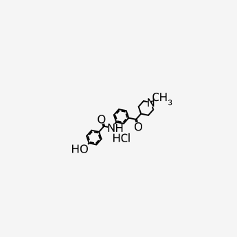 CN1CCC(C(=O)c2cccc(NC(=O)c3ccc(O)cc3)c2)CC1.Cl